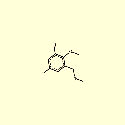 CNCc1cc(F)cc(Cl)c1OC